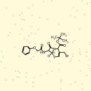 CC(C)(C)OC(=O)C1C(CBr)=CS[C@@H]2C(NC(=O)COc3ccccc3)C(=O)N12